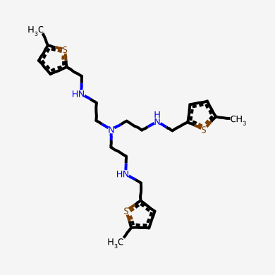 Cc1ccc(CNCCN(CCNCc2ccc(C)s2)CCNCc2ccc(C)s2)s1